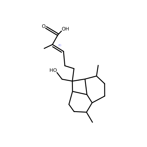 C/C(=C\CCC1(CO)C2CCC(C)C3CCC(C)C1C32)C(=O)O